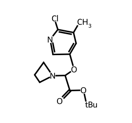 Cc1cc(OC(C(=O)OC(C)(C)C)N2CCC2)cnc1Cl